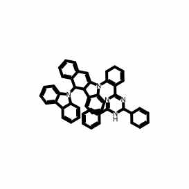 C1=CCC(C2N=C(C3=C(N4C5=Cc6ccccc6C(N6c7ccccc7C7C=CC=CC76)C5c5ccccc54)CCC=C3)N=C(c3ccccc3)N2)C=C1